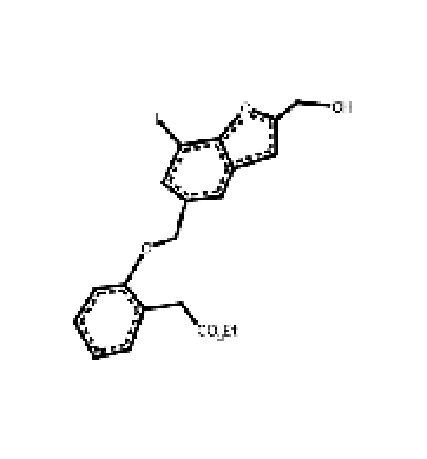 CCOC(=O)Cc1ccccc1OCc1cc(I)c2oc(CO)cc2c1